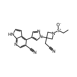 CC[S+]([O-])N1CC(CC#N)(n2cc(-c3c(C#N)cnc4[nH]ccc34)cn2)C1